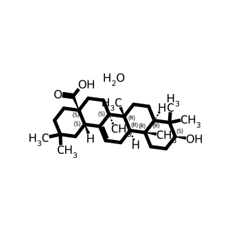 CC1(C)CC[C@]2(C(=O)O)CC[C@]3(C)C(=CC[C@@H]4[C@@]5(C)CC[C@H](O)C(C)(C)[C@@H]5CC[C@]43C)[C@@H]2C1.O